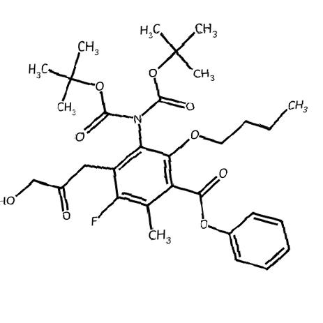 CCCCOc1c(C(=O)Oc2ccccc2)c(C)c(F)c(CC(=O)CO)c1N(C(=O)OC(C)(C)C)C(=O)OC(C)(C)C